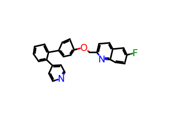 Fc1ccc2nc(COc3ccc(-c4ccccc4-c4ccncc4)cc3)ccc2c1